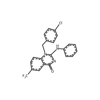 O=c1nc(Nc2ccccc2)n(Cc2ccc(Cl)cc2)c2ccc(C(F)(F)F)cc12